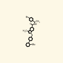 Cc1cn(Cc2ccc(-c3ccccc3C(C)(C)C)cc2)c2ccc(C(=O)N[C@@H](C)c3ccc(Br)cc3)cc12